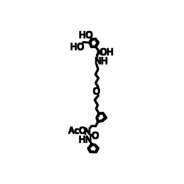 CC(=O)ON(CCc1cccc(CCCCOCCCCCCNC[C@@H](O)c2ccc(O)c(CO)c2)c1)C(=O)Nc1ccccc1